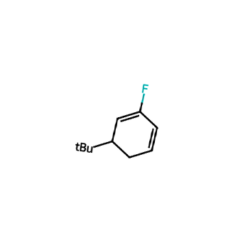 CC(C)(C)C1C=C(F)C=CC1